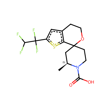 C[C@H]1CC2(CCN1C(=O)O)OCCc1cc(C(F)(F)C(F)F)sc12